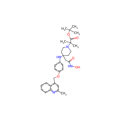 Cc1cc(COc2ccc(NC3(CC(=O)NO)CCN(C(C)(C)C(=O)OC(C)(C)C)CC3)cc2)c2ccccc2n1